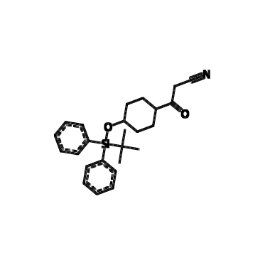 CC(C)(C)[Si](OC1CCC(C(=O)CC#N)CC1)(c1ccccc1)c1ccccc1